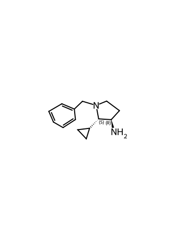 N[C@@H]1CCN(Cc2ccccc2)[C@H]1C1CC1